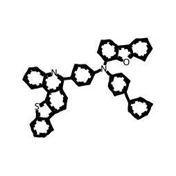 c1ccc(-c2ccc(N(c3ccc(-c4nc5ccccc5c5c4ccc4c6ccccc6sc45)cc3)c3cccc4c3oc3ccccc34)cc2)cc1